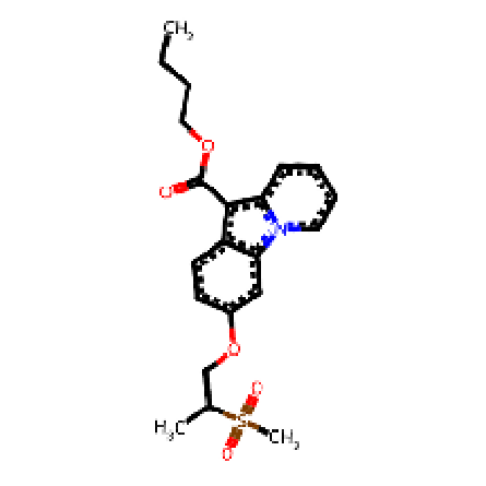 CCCCOC(=O)c1c2ccc(OCC(C)S(C)(=O)=O)cc2n2ccccc12